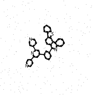 c1cc(-c2cc(-c3ccncc3)nc(-c3ccncc3)c2)cc(-c2nc3ccccc3c3c2ccc2c4ccccc4sc23)c1